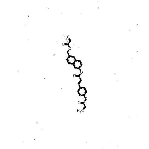 C=CC(=O)Cc1ccc(/C=C/C(=O)Oc2ccc3cc(COC(=O)C=C)ccc3c2)cc1